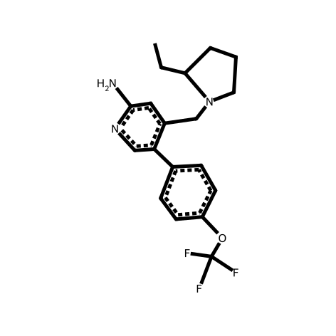 CCC1CCCN1Cc1cc(N)ncc1-c1ccc(OC(F)(F)F)cc1